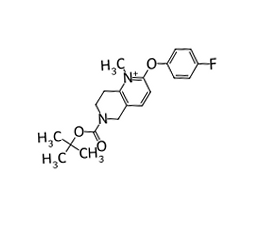 C[n+]1c(Oc2ccc(F)cc2)ccc2c1CCN(C(=O)OC(C)(C)C)C2